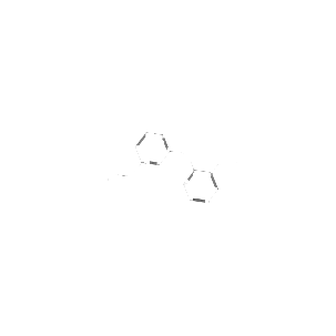 COc1cccc(Oc2cc[c]cc2C)c1